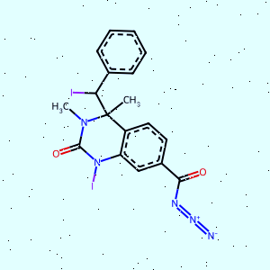 CN1C(=O)N(I)c2cc(C(=O)N=[N+]=[N-])ccc2C1(C)C(I)c1ccccc1